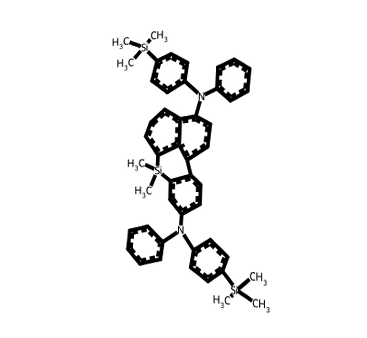 C[Si](C)(C)c1ccc(N(c2ccccc2)c2ccc3c(c2)[Si](C)(C)c2cccc4c(N(c5ccccc5)c5ccc([Si](C)(C)C)cc5)ccc-3c24)cc1